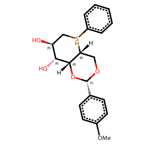 COc1ccc([C@H]2OC[C@@H]3[C@H](O2)[C@H](O)[C@@H](O)C[SH]3c2ccccc2)cc1